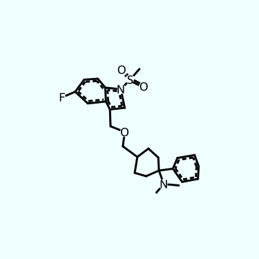 CN(C)C1(c2ccccc2)CCC(COCc2cn(S(C)(=O)=O)c3ccc(F)cc23)CC1